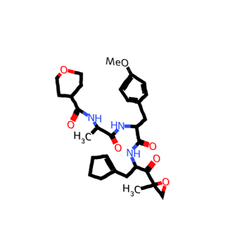 COc1ccc(CC(NC(=O)C(C)NC(=O)C2CCOCC2)C(=O)NC(CC2=CCCC2)C(=O)C2(C)CO2)cc1